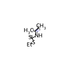 C/C=C(\C)NC(=S)SCC